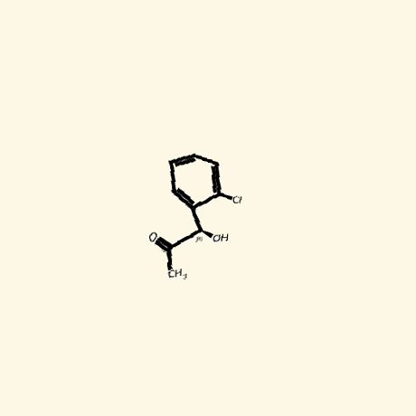 CC(=O)[C@H](O)c1ccccc1Cl